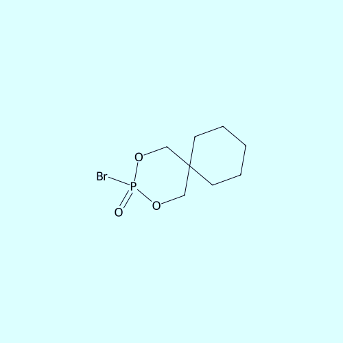 O=P1(Br)OCC2(CCCCC2)CO1